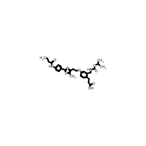 CCCC(=O)Nc1ccc(-c2nc(CCOc3ccc(CCC(=O)O)c(CNC(=O)OC(C)C)c3)c(C)o2)cc1